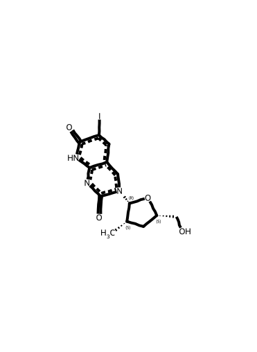 C[C@H]1C[C@@H](CO)O[C@H]1n1cc2cc(I)c(=O)[nH]c2nc1=O